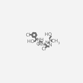 CN(CCO)c1ncc(Cl)c(NCC(=O)NC(CO)c2cccc(Cl)c2)n1